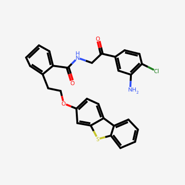 Nc1cc(C(=O)CNC(=O)c2ccccc2CCOc2ccc3c(c2)sc2ccccc23)ccc1Cl